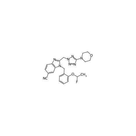 CC(F)Oc1ccccc1Cn1c(Cn2nnc(N3CCOCC3)n2)nc2ccc(C#N)cc21